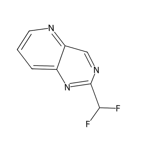 FC(F)c1ncc2ncccc2n1